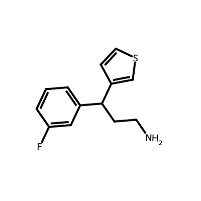 NCCC(c1ccsc1)c1cccc(F)c1